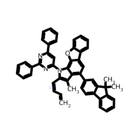 C=C/C=C\c1c(C)c2c(-c3ccc4c(c3)C(C)(C)c3ccccc3-4)cc3c4ccccc4oc3c2n1-c1cc(-c2ccccc2)nc(-c2ccccc2)n1